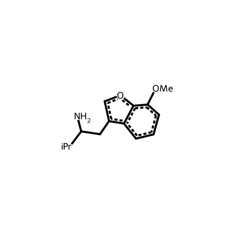 COc1cccc2c(CC(N)C(C)C)coc12